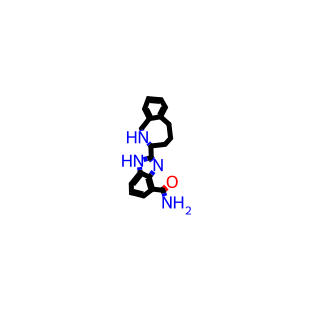 NC(=O)c1cccc2[nH]c(C3CCCc4ccccc4CN3)nc12